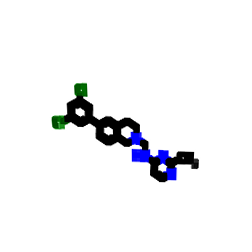 Cc1nccc(NCN2CCc3cc(-c4cc(Cl)cc(Cl)c4)ccc3C2)n1